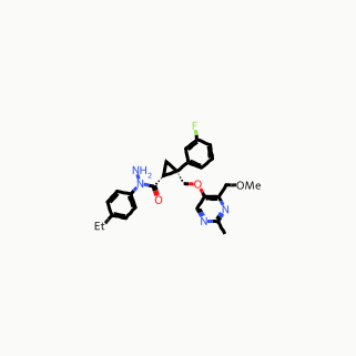 CCc1ccc(N(N)C(=O)[C@@H]2C[C@@]2(COc2cnc(C)nc2COC)c2cccc(F)c2)cc1